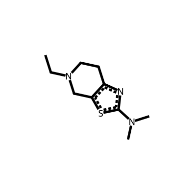 CCN1CCc2nc(N(C)C)sc2C1